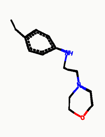 CCc1ccc(NCCN2CCOCC2)cc1